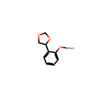 CCCCCOc1ccccc1C1COCO1